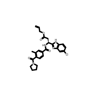 C=CCOC(=O)C[C@H](NC(=O)c1ccc(C(=O)N2CCCC2)c(C)c1)c1nc2cc(Cl)ccc2[nH]1